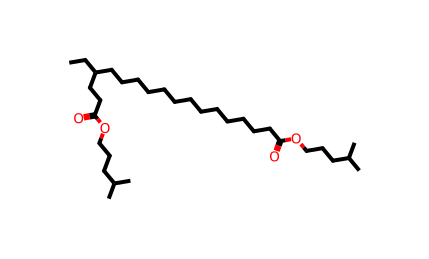 CCC(CCCCCCCCCCCCCC(=O)OCCCC(C)C)CCC(=O)OCCCC(C)C